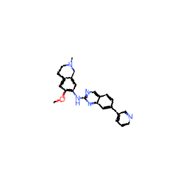 COc1cc2c(cc1Nc1ncc3ccc(-c4cccnc4)cc3n1)CN(C)CC2